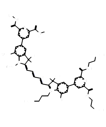 CCCCCN1/C(=C/C=C/C=C/C2=[N+](CCCS(=O)(=O)O)c3c(C)cc(-c4cc(C(=O)NCCS(=O)(=O)O)nc(C(=O)NCCS(=O)(=O)O)c4)cc3C2(C)C)C(C)(C)c2cc(-c3cc(C(=O)NCC)nc(C(=O)NCC)c3)cc(OC)c21